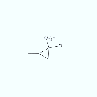 CC1CC1(Cl)C(=O)O